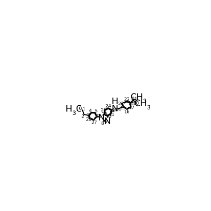 CCCc1ccc(-n2cnc3cc(NCc4ccc(C(C)C)cc4)ccc32)cc1